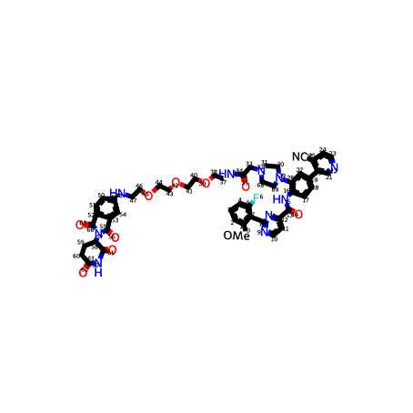 COc1cccc(F)c1-c1nccc(C(=O)Nc2ccc(-c3cnccc3C#N)cc2N2CCN(CC(=O)NCCOCCOCCOCCNc3ccc4c(c3)C(=O)N(C3CCC(=O)NC3=O)C4=O)CC2)n1